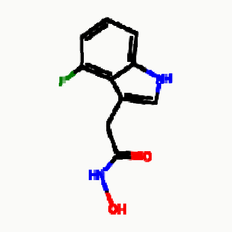 O=C(Cc1c[nH]c2cccc(F)c12)NO